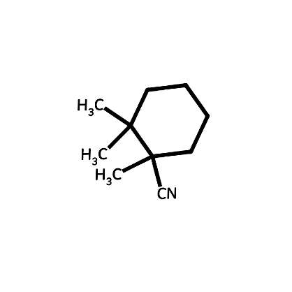 CC1(C)CCCCC1(C)C#N